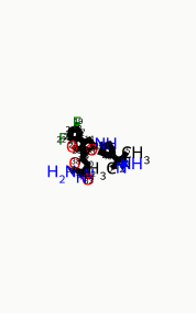 Cc1n[nH]c(C)c1-c1ccc(NC(=O)CC2c3cc(F)cc(F)c3OCC23CC3CCc2nonc2C(N)=O)cc1